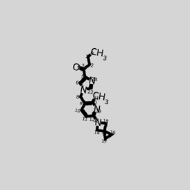 CCCC(=O)c1cn(Cc2ccc(N3CC4(CC4)C3)nc2C)cn1